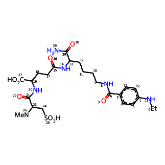 CCNc1ccc(C(=O)NCCCCC(NC(=O)CCC(NC(=O)C(CS(=O)(=O)O)NC)C(=O)O)C(N)=O)cc1